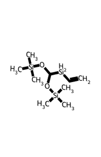 C=C[SiH2]C(O[Si](C)(C)C)O[Si](C)(C)C